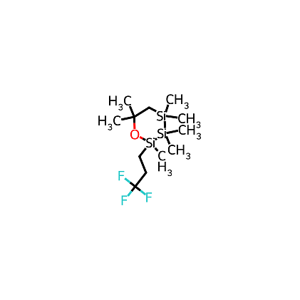 CC1(C)C[Si](C)(C)[Si](C)(C)[Si](C)(CCC(F)(F)F)O1